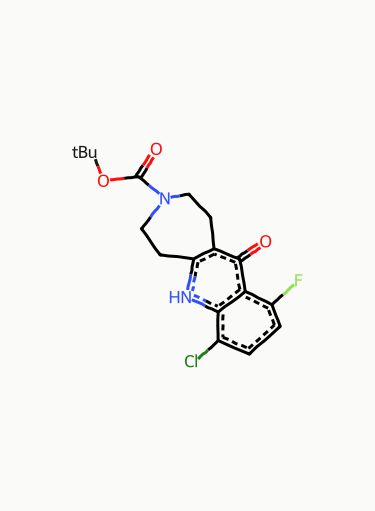 CC(C)(C)OC(=O)N1CCc2[nH]c3c(Cl)ccc(F)c3c(=O)c2CC1